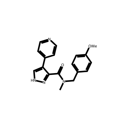 COc1ccc(CN(C)C(=O)c2n[nH]cc2-c2ccncc2)cc1